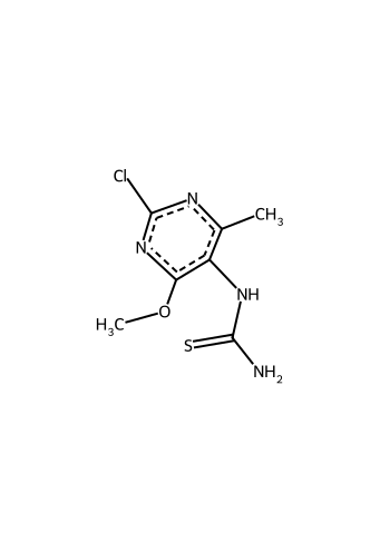 COc1nc(Cl)nc(C)c1NC(N)=S